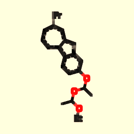 CCOC(C)OC(C)Oc1ccc2c3cccc(C(C)C)cc-3cc2c1